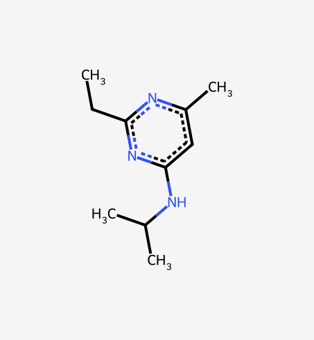 CCc1nc(C)cc(NC(C)C)n1